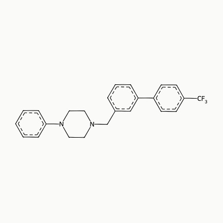 FC(F)(F)c1ccc(-c2cccc(CN3CCN(c4ccccc4)CC3)c2)cc1